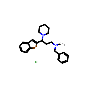 CN(CCC(c1cc2ccccc2s1)N1CCCCC1)Cc1ccccc1.Cl